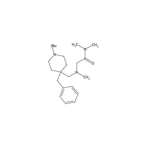 CN(CC(=O)N(C)C)CC1(Cc2ccccc2)CCN(C(C)(C)C)CC1